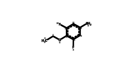 Bc1cc(F)c(OCC)c(F)c1